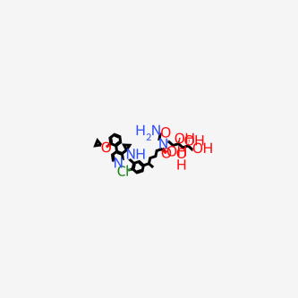 CC(CCCC(=O)N(CC(N)=O)C[C@H](O)[C@@H](O)[C@H](O)[C@H](O)CO)c1ccc(Cl)c(CNC2(c3cnccc3-c3ccccc3OC3CC3)CC2)c1